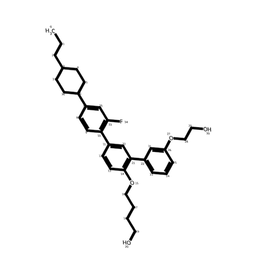 CCCC1CCC(c2ccc(-c3ccc(OCCCCO)c(-c4cccc(OCCO)c4)c3)c(F)c2)CC1